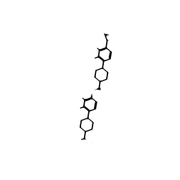 CC(O)C1CCC(c2ccc(OC(=O)C3CCC(c4ccc(C5CO5)c(F)c4F)CC3)c(F)c2F)CC1